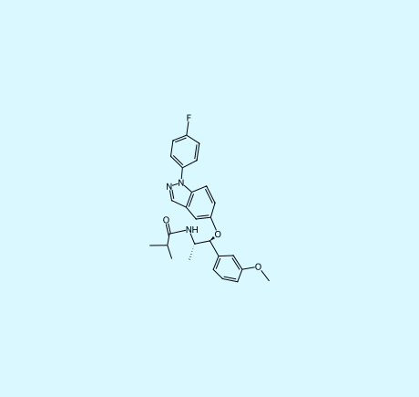 COc1cccc([C@H](Oc2ccc3c(cnn3-c3ccc(F)cc3)c2)[C@H](C)NC(=O)C(C)C)c1